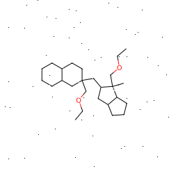 CCOCC1(CC2CC3CCCC3C2(C)COCC)CCC2CCCCC2C1